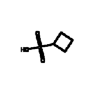 O=S(=O)(O)C1CCC1